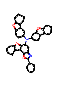 c1ccc(-c2nc3cc(N(c4ccc5c(c4)oc4ccccc45)c4ccc5oc6ccccc6c5c4)c4oc5ccccc5c4c3o2)cc1